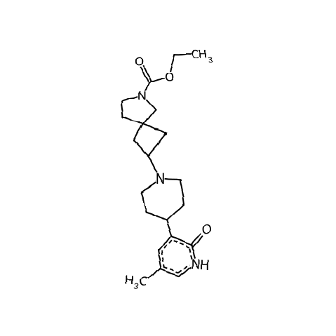 CCOC(=O)N1CCC2(CC(N3CCC(c4cc(C)c[nH]c4=O)CC3)C2)C1